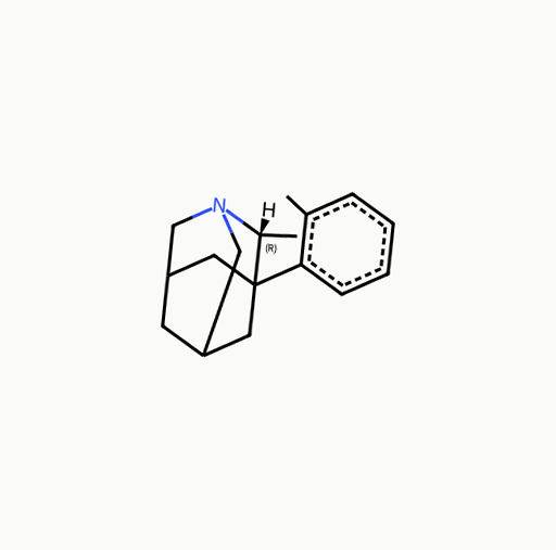 Cc1ccccc1C12CC3CC(CN(C3)[C@@H]1C)C2